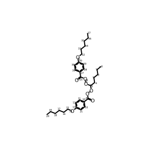 [CH2]CCCC[C](OOC(=O)c1ccc(OCCCCCC)cc1)OOC(=O)c1ccc(OCCCCCC)cc1